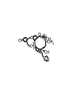 C#C[C@]1(OCCN2CCOCC2)/C=C/C[C@H](C)[C@@H](C)S(=O)(=O)NC(=O)c2ccc3c(c2)N(CCCCc2cc(Cl)ccc2CO3)C[C@@H]2CC[C@H]21